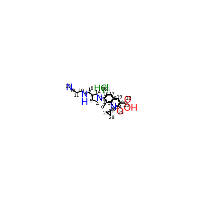 Cc1c(N2CCC([C@H](C)NCCC#N)C2)c(F)cc2cc(C(=O)O)c(=O)n(C3CC3)c12.Cl